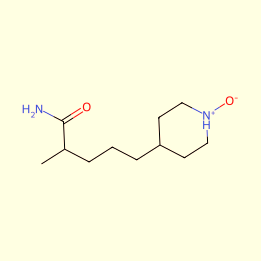 CC(CCCC1CC[NH+]([O-])CC1)C(N)=O